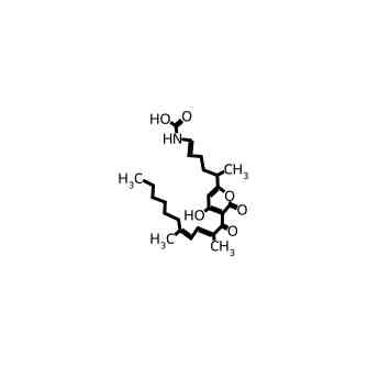 CCCCCCC(C)=CC=C(C)C(=O)c1c(O)cc(C(C)CCC=CNC(=O)O)oc1=O